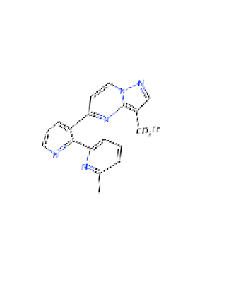 CCOC(=O)c1cnn2ccc(-c3cccnc3-c3cccc(C)n3)nc12